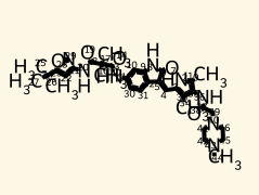 Cc1[nH]c(/C=C2\C(=O)Nc3cc(NC(=O)C(C)(C)C(=O)Nc4cc(C(C)(C)C)on4)ccc32)c(C)c1NC(=O)CN1CCN(C)CC1